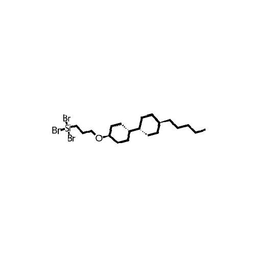 CCCCC[C@H]1CC[C@H]([C@H]2CC[C@H](OCCC[Si](Br)(Br)Br)CC2)CC1